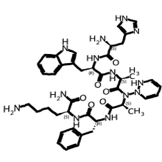 C[C@H](NC(=O)[C@@H](Cc1c[nH]c2ccccc12)NC(=O)[C@@H](N)Cc1c[nH]cn1)C(=O)N([C@@H](C)C(=O)N[C@H](Cc1ccccc1)C(=O)N[C@@H](CCCCN)C(N)=O)N1C=CC=CN1